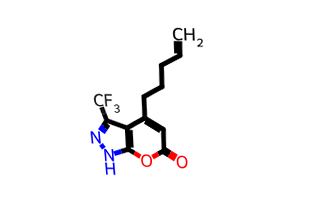 C=CCCCc1cc(=O)oc2[nH]nc(C(F)(F)F)c12